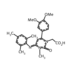 COc1ccc(-c2cc(=Nc3c(C)cc(C)cc3C)n(C)c(=O)n2CC(=O)O)cc1OC